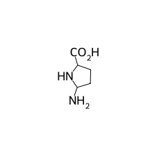 NC1CCC(C(=O)O)N1